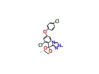 C[C@H]1CO[C@@](c2ncn(C)n2)(c2ccc(Oc3ccc(Cl)cc3)cc2Cl)O1